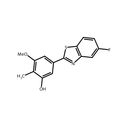 COc1cc(-c2nc3cc(F)ccc3s2)cc(O)c1C